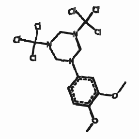 COc1ccc(N2CN(C(Cl)(Cl)Cl)CN(C(Cl)(Cl)Cl)C2)cc1OC